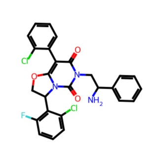 NC(Cn1c(=O)c(-c2ccccc2Cl)c2n(c1=O)C(c1c(F)cccc1Cl)CO2)c1ccccc1